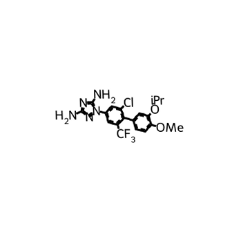 COc1ccc(-c2c(Cl)cc(-n3nc(N)nc3N)cc2C(F)(F)F)cc1OC(C)C